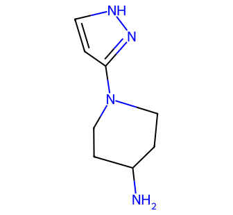 NC1CCN(c2cc[nH]n2)CC1